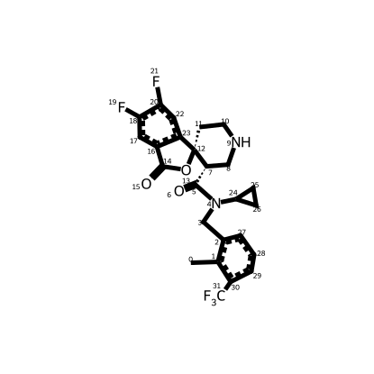 Cc1c(CN(C(=O)[C@H]2CNCC[C@@]23OC(=O)c2cc(F)c(F)cc23)C2CC2)cccc1C(F)(F)F